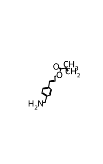 C=C(C)C(=O)OCC=Cc1ccc(CN)cc1